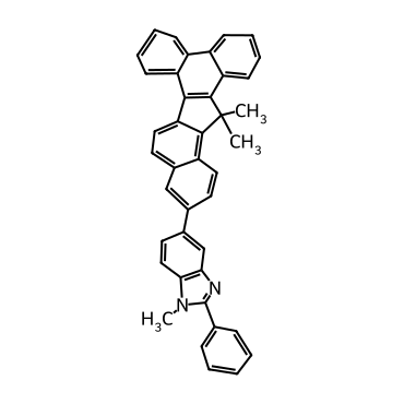 Cn1c(-c2ccccc2)nc2cc(-c3ccc4c5c(ccc4c3)-c3c(c4ccccc4c4ccccc34)C5(C)C)ccc21